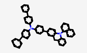 c1ccc(-c2ccc(N(c3ccc(-c4ccccc4)cc3)c3ccc(-c4ccc5c(c4)Cc4ccccc4N5c4cccc5ccccc45)cc3)cc2)cc1